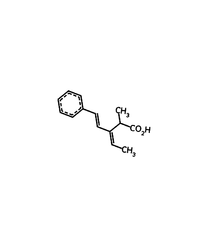 CC=C(C=Cc1ccccc1)C(C)C(=O)O